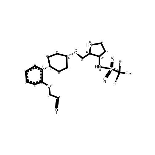 O=CCOc1ccccc1[C@H]1CC[C@@H](OCC2NCCC2NS(=O)(=O)C(F)(F)F)CC1